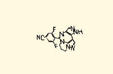 N#Cc1cc(F)c(C2=Nc3cn[nH]c3-c3cnn4c3N2CCC4)c(F)c1